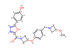 COC1CN(Cc2ccc(OC3CN(C(=O)c4nnc(-c5ccc(O)cc5)o4)C3)cc2)C1